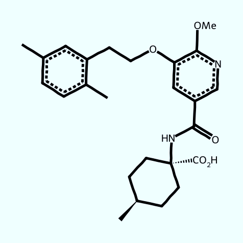 COc1ncc(C(=O)N[C@]2(C(=O)O)CC[C@H](C)CC2)cc1OCCc1cc(C)ccc1C